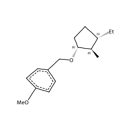 CC[C@H]1CC[C@@H](OCc2ccc(OC)cc2)[C@@H]1C